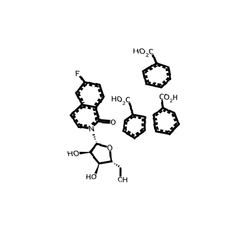 O=C(O)c1ccccc1.O=C(O)c1ccccc1.O=C(O)c1ccccc1.O=c1c2ccc(F)cc2ccn1[C@@H]1O[C@H](CO)[C@@H](O)[C@H]1O